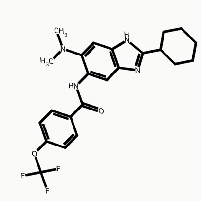 CN(C)c1cc2[nH]c(C3CCCCC3)nc2cc1NC(=O)c1ccc(OC(F)(F)F)cc1